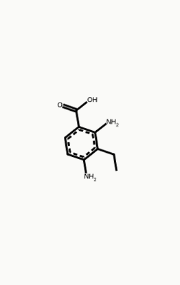 CCc1c(N)ccc(C(=O)O)c1N